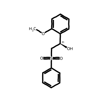 COc1ccccc1[C@@H](O)CS(=O)(=O)c1ccccc1